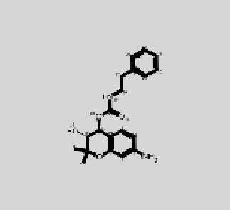 CC1(C)Oc2cc(N)ccc2[C@H](OC(=O)NCCc2ccccc2)[C@H]1O